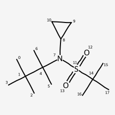 CC(C)(C)C(C)(C)N(C1CC1)S(=O)(=O)C(C)(C)C